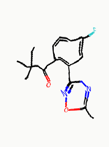 Cc1nc(-c2cc(F)ccc2C(=O)C(C)(C)C)no1